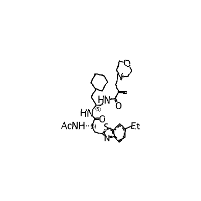 C=C(CN1CCOCC1)C(=O)NC[C@H](CC1CCCCC1)NC(=O)[C@H](Cc1nc2ccc(CC)cc2s1)NC(C)=O